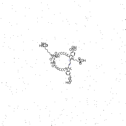 CC1(C)C2=[N+](CCCCCC(=O)NCC(C(=O)NCCCCCC(=O)NN)NC(=O)CCCCCC3(C)/C(=C/C=C/2)N(CCCS(=O)(=O)O)c2ccc(S(=O)(=O)O)cc23)c2ccc(SOOO)cc21